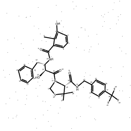 Cc1c(O)cccc1C(=O)N[C@@H](Cc1ccccc1)[C@H](O)C(=O)N1CSC(C)(C)[C@H]1C(=O)NCc1ccc(C(F)(F)F)cc1